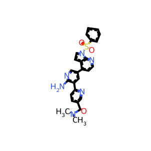 CN(C)C(=O)c1ccc(-c2cc(-c3ccnc4c3ccn4S(=O)(=O)c3ccccc3)cnc2N)nc1